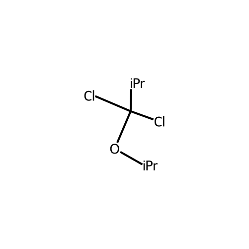 CC(C)OC(Cl)(Cl)C(C)C